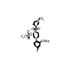 COc1cc(F)ccc1N1CCN(S(=O)(=O)n2cc[n+](C)c2)CC1.O=S(=O)([O-])C(F)(F)F